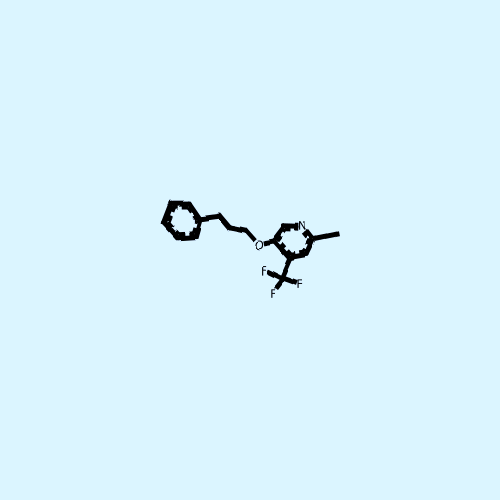 Cc1cc(C(F)(F)F)c(OCCCc2ccccc2)cn1